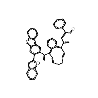 C=C(/C=C(\C=O)c1ccccc1)C1=c2\cccc\c2=C(C(=C)c2cc3c(cc2-c2cc4ccccc4o2)sc2ccccc23)\C=C\CC\C=C\1